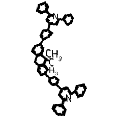 CC1(C)c2cc(-c3ccc(-c4cc(-c5ccccc5)nc(-c5ccccc5)c4)cc3)ccc2Cc2ccc(-c3ccc(-c4cc(-c5ccccc5)nc(-c5ccccc5)c4)cc3)cc21